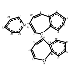 C1=COc2ccccc2C=C1.C1=COc2ccccc2C=C1.c1ccncc1